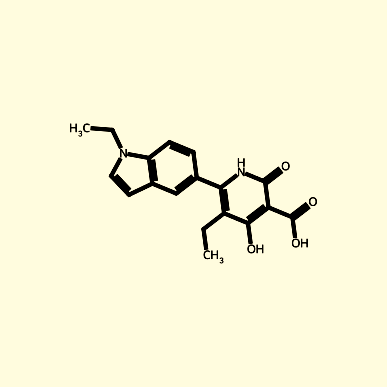 CCc1c(-c2ccc3c(ccn3CC)c2)[nH]c(=O)c(C(=O)O)c1O